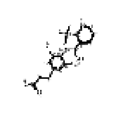 CC(C)(C)c1ncccc1C(S)Oc1c(F)cc(CCC(=O)O)cc1F